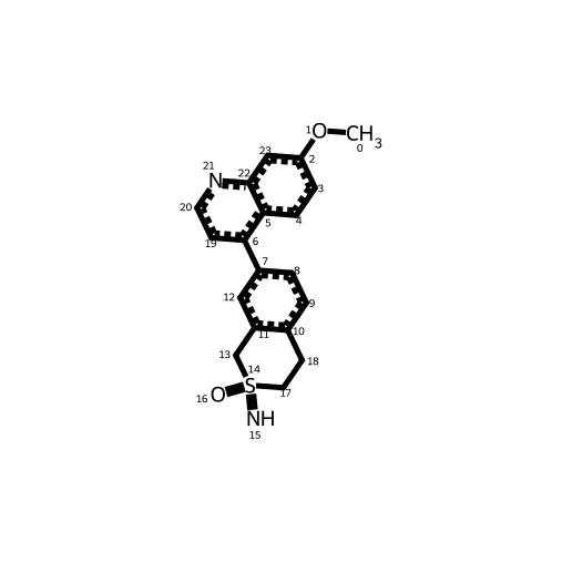 COc1ccc2c(-c3ccc4c(c3)CS(=N)(=O)CC4)ccnc2c1